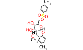 CO[C@H]1c2cc(C)ccc2O[C@H]2O[C@H](COS(=O)(=O)c3ccc(C)cc3)[C@H](O)[C@H](O)[C@H]21